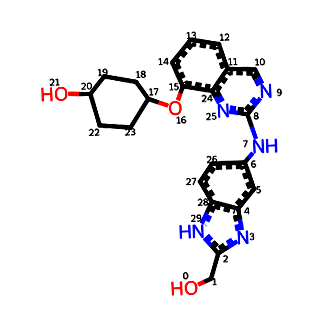 OCc1nc2cc(Nc3ncc4cccc(OC5CCC(O)CC5)c4n3)ccc2[nH]1